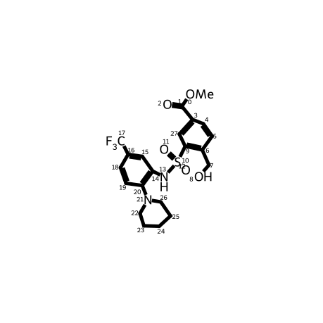 COC(=O)c1ccc(CO)c(S(=O)(=O)Nc2cc(C(F)(F)F)ccc2N2CCCCC2)c1